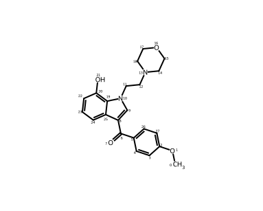 COc1ccc(C(=O)c2cn(CCN3CCOCC3)c3c(O)cccc23)cc1